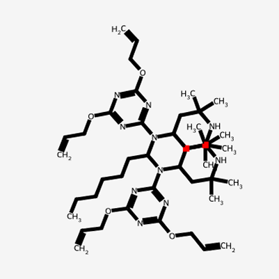 C=CCOc1nc(OCC=C)nc(N(C2CC(C)(C)NC(C)(C)C2)C(CCCCCC)N(c2nc(OCC=C)nc(OCC=C)n2)C2CC(C)(C)NC(C)(C)C2)n1